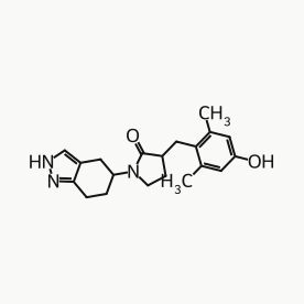 Cc1cc(O)cc(C)c1CC1CCN(C2CCc3n[nH]cc3C2)C1=O